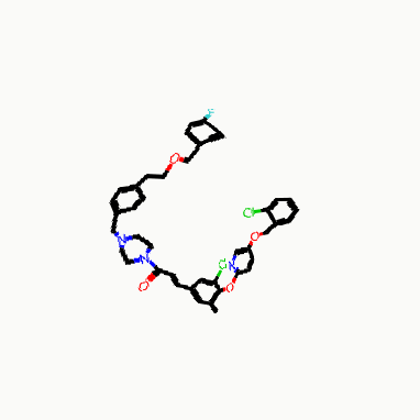 Cc1cc(C=CC(=O)N2CCN(Cc3ccc(CCOCc4ccc(F)cc4)cc3)CC2)cc(Cl)c1Oc1ccc(OCc2ccccc2Cl)cn1